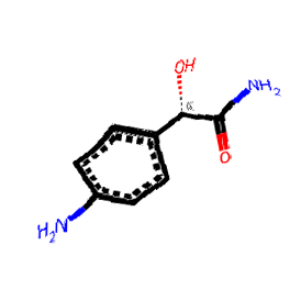 NC(=O)[C@@H](O)c1ccc(N)cc1